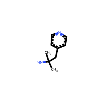 CC(C)([NH])Cc1ccncc1